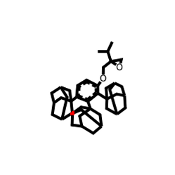 CC(C)C1(COc2ccc(C34CC5CC(CC(C5)C3)C4)c(C34CC5CC(CC(C5)C3)C4)c2C23CC4CC(CC(C4)C2)C3)CO1